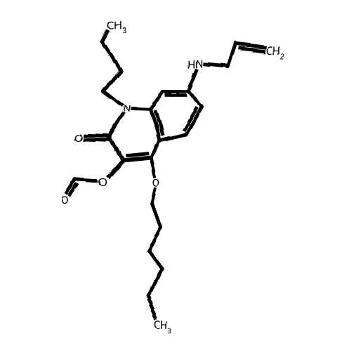 C=CCNc1ccc2c(OCCCCCC)c(OC=O)c(=O)n(CCCC)c2c1